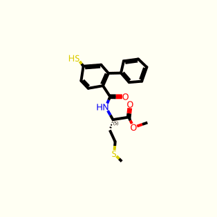 COC(=O)[C@H](CCSC)NC(=O)c1ccc(S)cc1-c1ccccc1